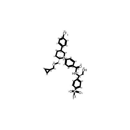 CCS(=O)(=O)c1ccc([C@H](CO)NC(=O)c2ccc(N3CC(c4ccc(C(F)(F)F)cc4)CC[C@H]3COCC3CC3)cc2)cc1